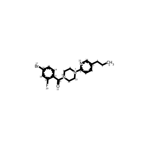 CCCc1ccc(N2CCN(C(=O)c3ccc(Br)cc3F)CC2)nc1